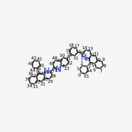 c1ccc(-c2c3ccccc3cc3ccc(-c4cccc(-c5ccc6nc(-c7ccc8cc9ccccc9c(-c9ccccc9)c8n7)ccc6c5)c4)nc23)cc1